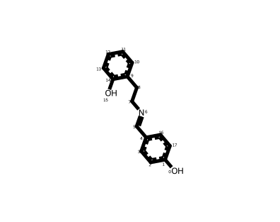 Oc1ccc(C=NCCc2ccccc2O)cc1